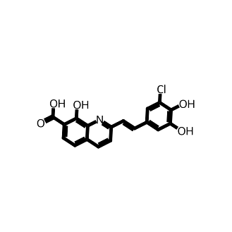 O=C(O)c1ccc2ccc(/C=C/c3cc(O)c(O)c(Cl)c3)nc2c1O